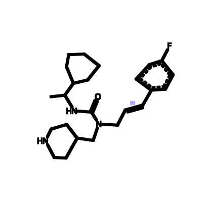 CC(NC(=O)N(C/C=C/c1ccc(F)cc1)CC1CCNCC1)C1CCCCC1